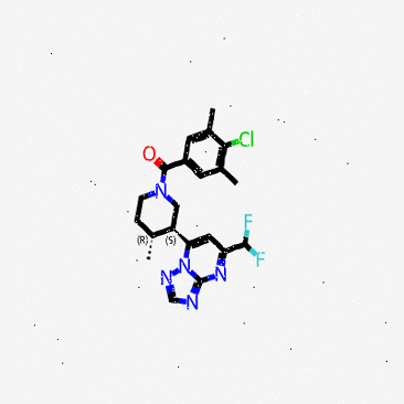 Cc1cc(C(=O)N2CC[C@@H](C)[C@H](c3cc(C(F)F)nc4ncnn34)C2)cc(C)c1Cl